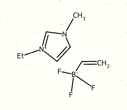 C=C[B-](F)(F)F.CC[n+]1ccn(C)c1